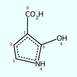 O=C(O)c1cc[nH]c1O